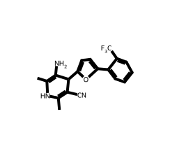 CC1=C(N)C(c2ccc(-c3ccccc3C(F)(F)F)o2)C(C#N)=C(C)N1